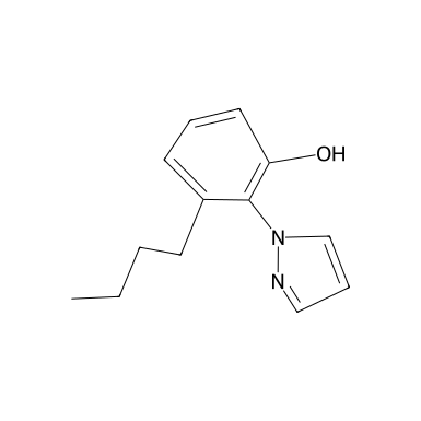 CCCCc1cccc(O)c1-n1cccn1